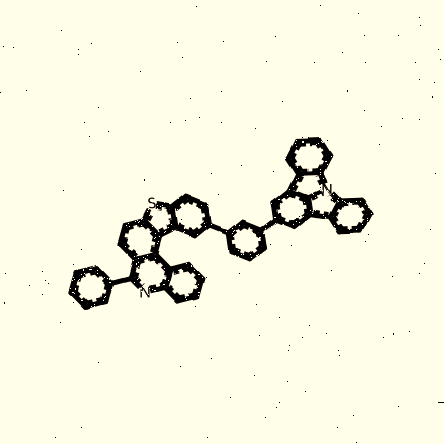 c1ccc(-c2nc3ccccc3c3c2ccc2sc4ccc(-c5cccc(-c6cc7c8ccccc8n8c9ccccc9c(c6)c78)c5)cc4c23)cc1